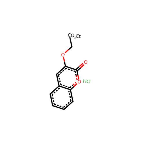 CCOC(=O)COc1cc2ccccc2oc1=O.Cl